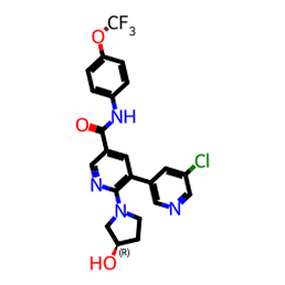 O=C(Nc1ccc(OC(F)(F)F)cc1)c1cnc(N2CC[C@@H](O)C2)c(-c2cncc(Cl)c2)c1